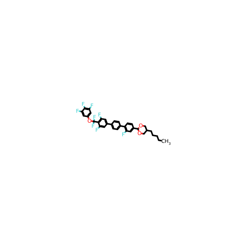 CCCCCC1COC(c2ccc(-c3ccc(-c4cc(F)c(C(F)(F)Oc5cc(F)c(F)c(F)c5)c(F)c4)cc3)c(F)c2)OC1